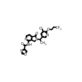 CC(c1cnc(OCCC(F)(F)F)c(Cl)c1)N1Cc2c(ccnc2NC(=O)c2cocn2)C1=O